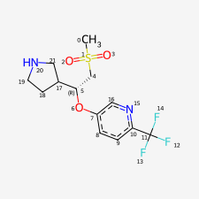 CS(=O)(=O)C[C@H](Oc1ccc(C(F)(F)F)nc1)C1CCNC1